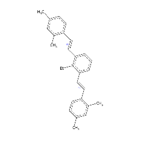 CC[n+]1c(/C=C/c2ccc(C)cc2C)cccc1/C=C/c1ccc(C)cc1C